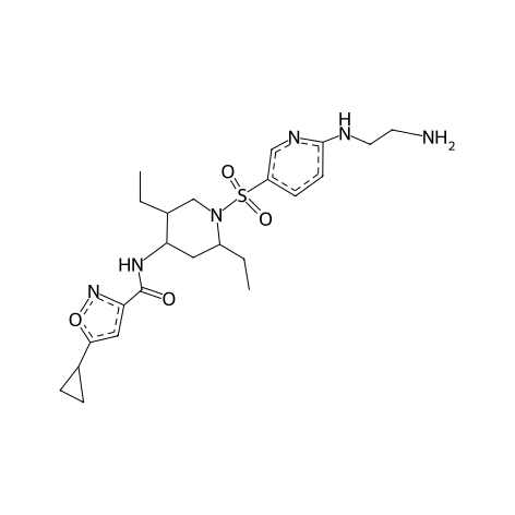 CCC1CN(S(=O)(=O)c2ccc(NCCN)nc2)C(CC)CC1NC(=O)c1cc(C2CC2)on1